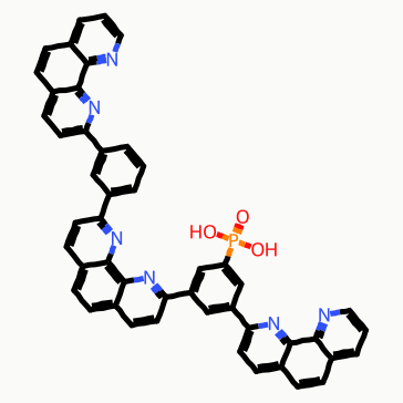 O=P(O)(O)c1cc(-c2ccc3ccc4cccnc4c3n2)cc(-c2ccc3ccc4ccc(-c5cccc(-c6ccc7ccc8cccnc8c7n6)c5)nc4c3n2)c1